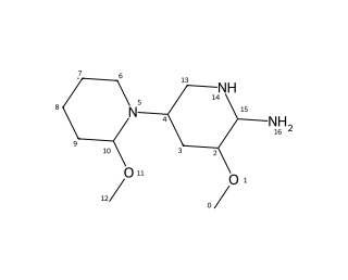 COC1CC(N2C[CH]CCC2OC)CNC1N